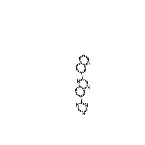 c1cnc2cc(-c3cnc4cc(-c5ncncn5)ccc4n3)ccc2c1